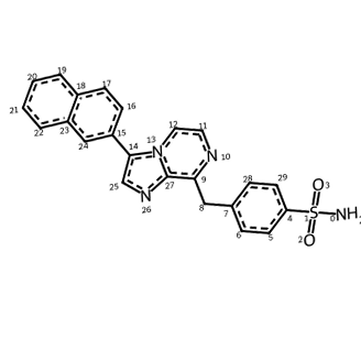 NS(=O)(=O)c1ccc(Cc2nccn3c(-c4ccc5ccccc5c4)cnc23)cc1